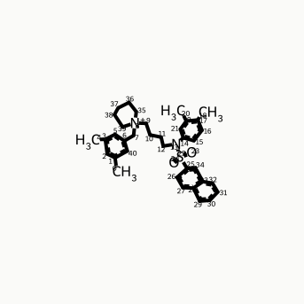 Cc1cc(C)cc(C[N+]2(CCCCN(c3ccc(C)c(C)c3)S(=O)(=O)c3ccc4ccccc4c3)CCCCC2)c1